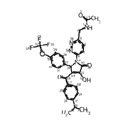 CC(=O)NCc1ccc(N2C(=O)C(O)=C(C(=O)c3ccc(C(C)C)cc3)C2c2ccc(OC(F)(F)F)cc2)nn1